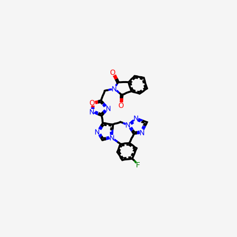 O=C1c2ccccc2C(=O)N1Cc1nc(-c2ncn3c2Cn2ncnc2-c2cc(F)ccc2-3)no1